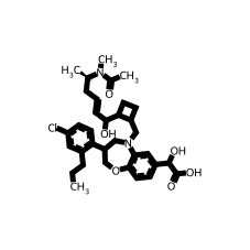 CCCc1cc(Cl)ccc1C1COc2ccc(C(O)C(=O)O)cc2N(CC2CCC2C(O)/C=C/C[C@@H](C)N(C)C(C)=O)C1